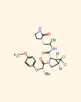 CC(C)(C)[C@H](Oc1ccc(OC(F)(F)F)cc1)C(=O)N1C[C@H]2[C@@H]([C@H]1C(=O)N[C@H](C#N)C[C@@H]1CCNC1=O)C2(Cl)Cl